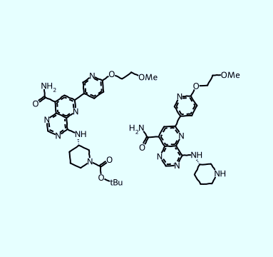 COCCOc1ccc(-c2cc(C(N)=O)c3ncnc(N[C@H]4CCCN(C(=O)OC(C)(C)C)C4)c3n2)cn1.COCCOc1ccc(-c2cc(C(N)=O)c3ncnc(N[C@H]4CCCNC4)c3n2)cn1